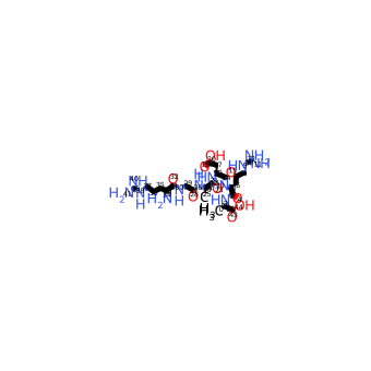 C[C@H](NC(=O)[C@H](CCCNC(=N)N)NC(=O)[C@H](CC(=O)O)NC(=O)[C@H](C)NC(=O)CNC(=O)[C@@H](N)CCCNC(=N)N)C(=O)O